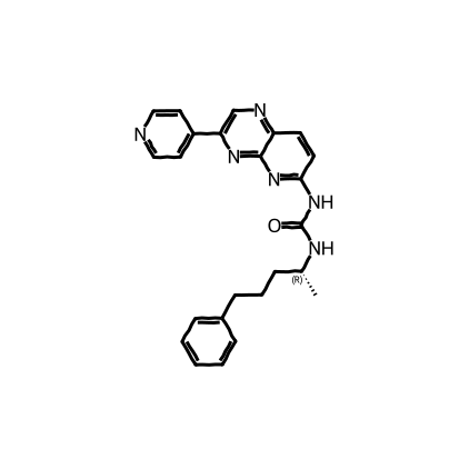 C[C@H](CCCc1ccccc1)NC(=O)Nc1ccc2ncc(-c3ccncc3)nc2n1